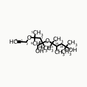 C#CCOC(C)(C)CC(C)(CO)OC(C)(C)C(C)CC(C)(C)O